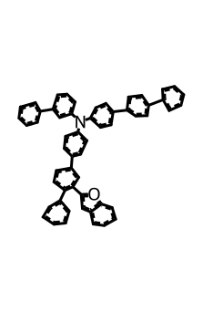 c1ccc(-c2ccc(-c3ccc(N(c4ccc(-c5ccc(-c6ccccc6)c(-c6cc7ccccc7o6)c5)cc4)c4cccc(-c5ccccc5)c4)cc3)cc2)cc1